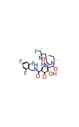 C[C@@H](F)C1=NO[C@@]2(CC[C@H](C)N3C[C@H]2n2cc(C(=O)NCc4c(F)cc(F)cc4F)c(=O)c(O)c2C3=O)C1